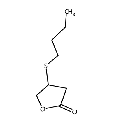 CCCCSC1COC(=O)C1